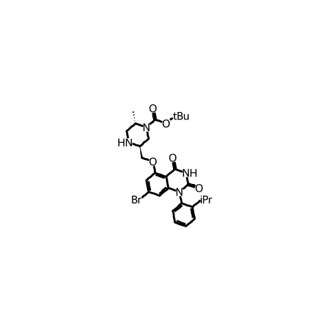 CC(C)c1ccccc1-n1c(=O)[nH]c(=O)c2c(OC[C@@H]3CN(C(=O)OC(C)(C)C)[C@@H](C)CN3)cc(Br)cc21